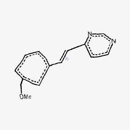 COc1cccc(/C=C/c2ccncn2)c1